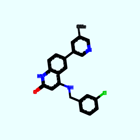 COc1cncc(-c2ccc3[nH]c(=O)cc(NCc4cccc(Cl)c4)c3c2)c1